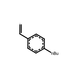 [CH]=Cc1ccc(CCCC)cc1